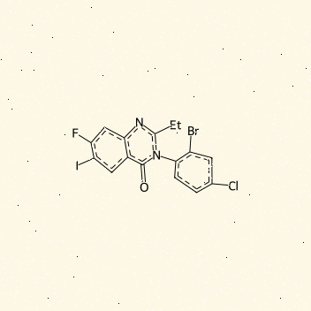 CCc1nc2cc(F)c(I)cc2c(=O)n1-c1ccc(Cl)cc1Br